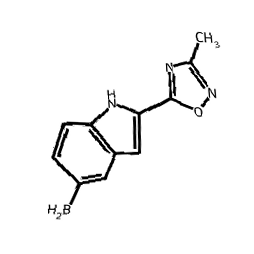 Bc1ccc2[nH]c(-c3nc(C)no3)cc2c1